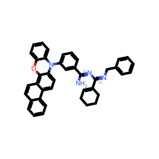 N/C(=N\C(=N/Cc1ccccc1)C1=CCCCC1)c1cccc(N2c3ccccc3Oc3c2ccc2c3ccc3ccccc32)c1